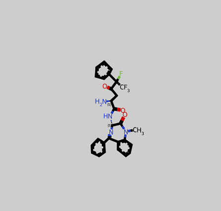 CN1C(=O)[C@@H](NC(=O)[C@@H](N)CC(=O)C(F)(c2ccccc2)C(F)(F)F)N=C(c2ccccc2)c2ccccc21